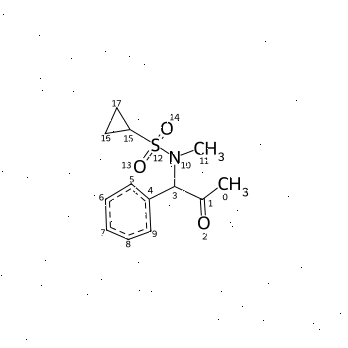 CC(=O)C(c1ccccc1)N(C)S(=O)(=O)C1CC1